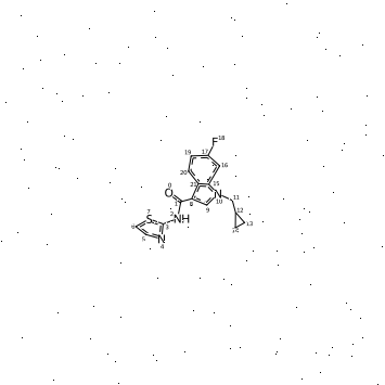 O=C(Nc1nccs1)c1cn(CC2CC2)c2cc(F)ccc12